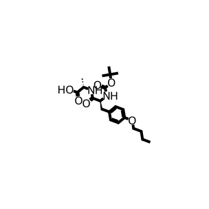 CCCCOc1ccc(C[C@H](NC(=O)OC(C)(C)C)C(=O)N[C@@H](C)C(=O)O)cc1